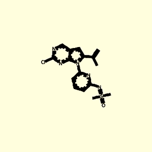 C=C(C)c1cc2cnc(Cl)nc2n1-c1cccc(N=S(C)(C)=O)n1